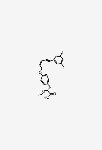 CCO[C@@H](Cc1ccc(OC/C=C\C#Cc2cc(I)cc(I)c2)cc1)C(=O)O